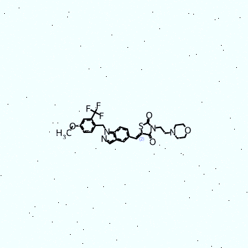 COc1ccc(Cn2ncc3cc(/C=C4\SC(=O)N(CCN5CCOCC5)C4=O)ccc32)c(C(F)(F)F)c1